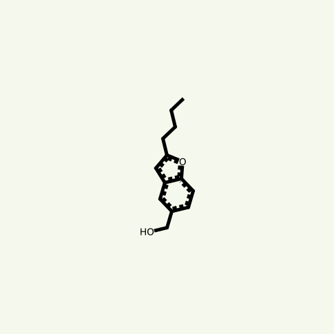 CCCCc1cc2cc(CO)ccc2o1